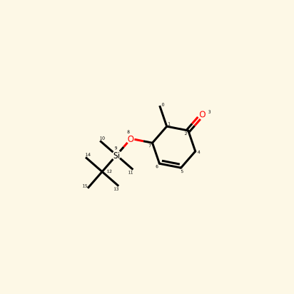 CC1C(=O)CC=CC1O[Si](C)(C)C(C)(C)C